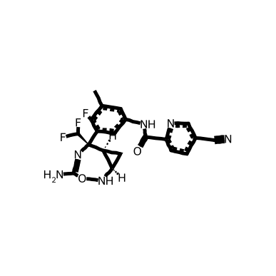 Cc1cc(NC(=O)c2ccc(C#N)cn2)cc([C@@]2(C(F)F)N=C(N)ON[C@@H]3C[C@@H]32)c1F